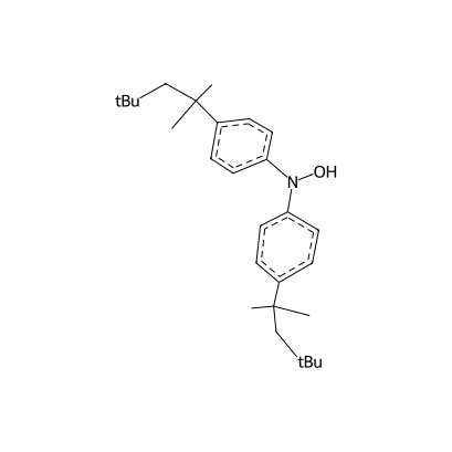 CC(C)(C)CC(C)(C)c1ccc(N(O)c2ccc(C(C)(C)CC(C)(C)C)cc2)cc1